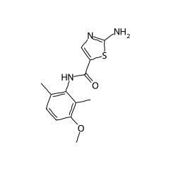 COc1ccc(C)c(NC(=O)c2cnc(N)s2)c1C